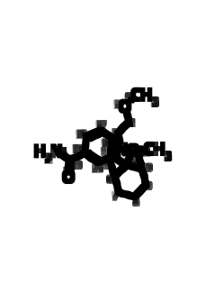 COCCN1CC2CCCC(C1)C2(OC)c1cccc(C(N)=O)c1